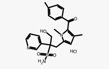 Cc1ccc(C(=O)c2c(C)cc(CC(CO)(c3cccnc3)S(N)(=O)=O)n2C)cc1.Cl